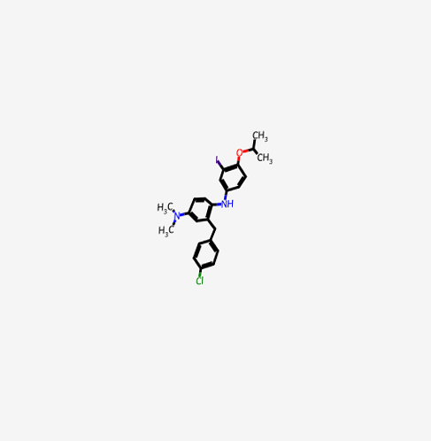 CC(C)Oc1ccc(Nc2ccc(N(C)C)cc2Cc2ccc(Cl)cc2)cc1I